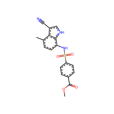 COC(=O)c1ccc(S(=O)(=O)Nc2ccc(C)c3c(C#N)c[nH]c23)cc1